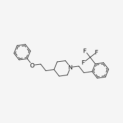 FC(F)(F)c1ccccc1CCN1CCC(CCOc2ccccc2)CC1